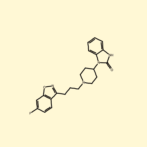 O=c1[nH]c2ccccc2n1C1CCN(CCCc2noc3cc(F)ccc23)CC1